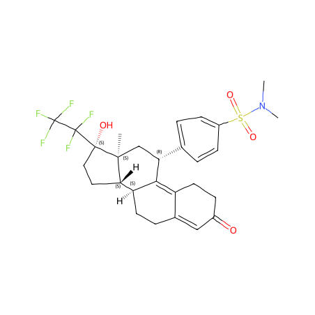 CN(C)S(=O)(=O)c1ccc([C@H]2C[C@@]3(C)[C@@H](CC[C@@]3(O)C(F)(F)C(F)(F)F)[C@@H]3CCC4=CC(=O)CCC4=C32)cc1